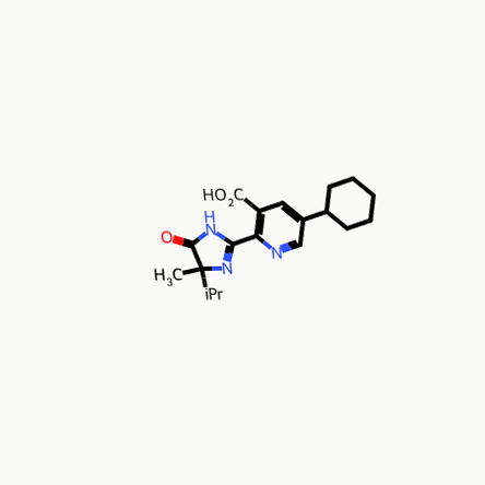 CC(C)C1(C)N=C(c2ncc(C3CCCCC3)cc2C(=O)O)NC1=O